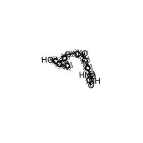 O=C1CCC(NC(=O)c2ccc(N3CCC(C(=O)N4CCC(CCOc5ccc([C@@H]6c7ccc(O)cc7CC[C@@H]6c6ccccc6)cc5)CC4)CC3)cc2)C(=O)N1